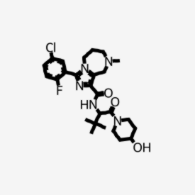 CN1CCCn2c(-c3cc(Cl)ccc3F)nc(C(=O)NC(C(=O)N3CCC(O)CC3)C(C)(C)C)c2C1